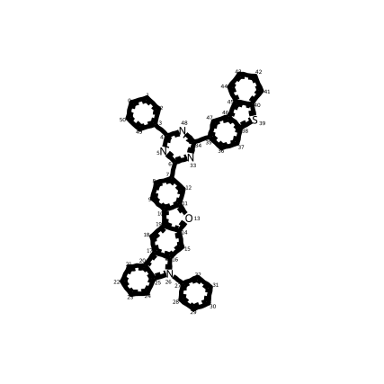 c1ccc(-c2nc(-c3ccc4c(c3)oc3cc5c(cc34)c3ccccc3n5-c3ccccc3)nc(-c3ccc4sc5ccccc5c4c3)n2)cc1